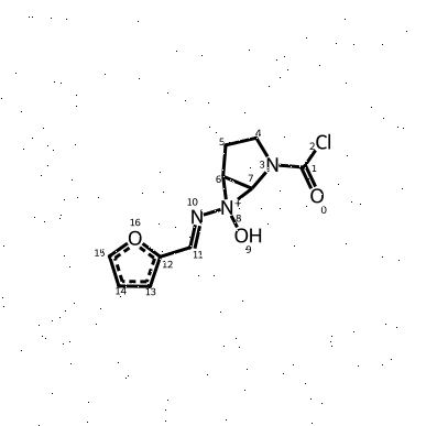 O=C(Cl)N1CCC2C1[N+]2(O)N=Cc1ccco1